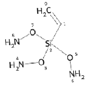 C=C[Si](ON)(ON)ON